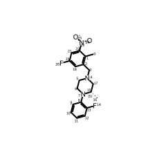 Cc1c(CN2CCN(c3[c]cccc3F)[C@@H](C)C2)cc(F)cc1[N+](=O)[O-]